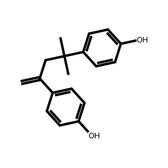 C=C(CC(C)(C)c1ccc(O)cc1)c1ccc(O)cc1